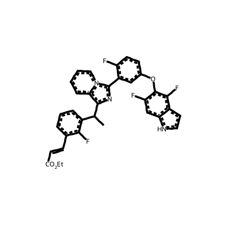 CCOC(=O)/C=C/c1cccc(C(C)c2nc(-c3cc(Oc4c(F)cc5[nH]ccc5c4F)ccc3F)n3ccccc23)c1F